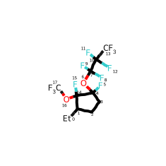 [CH2]CC1C[CH]C(F)(OC(F)(F)C(F)(F)C(F)(F)F)C1(F)OC(F)(F)F